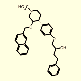 O=C(O)N1CC[C@H](c2ccc(OC[C@@H](O)CCc3ccccc3)cc2)[C@@H](OCc2ccc3ccccc3c2)C1